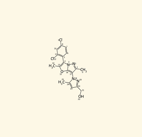 Cc1nn2c(-c3ccc(Cl)cc3Cl)c(C)oc2c1-n1nc(CO)cc1C